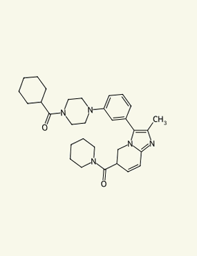 Cc1nc2n(c1-c1cccc(N3CCN(C(=O)C4CCCCC4)CC3)c1)CC(C(=O)N1CCCCC1)C=C2